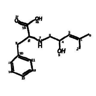 CC(C)=CC(O)CNC(Cc1ccccc1)C(=O)O